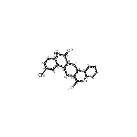 O=c1[nH]c2ccccc2c2cc3c(=O)[nH]c4ccc(Cl)cc4c3cc12